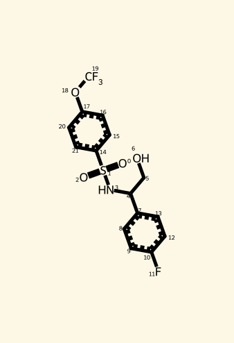 O=S(=O)(NC(CO)c1ccc(F)cc1)c1ccc(OC(F)(F)F)cc1